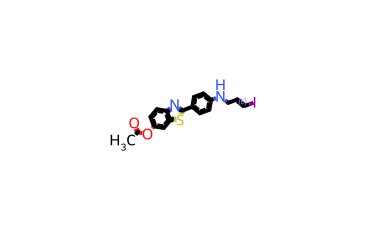 CC(=O)Oc1ccc2nc(-c3ccc(NC/C=C/I)cc3)sc2c1